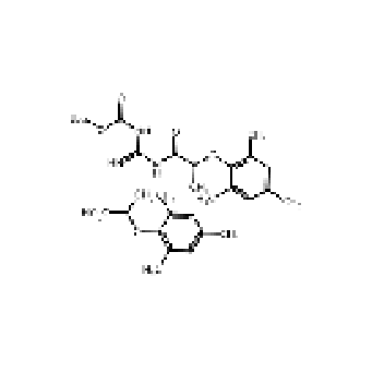 Cc1cc(C)c(OC(C)C(=O)NC(=N)NC(=O)OC(C)(C)C)c(C)c1.Cc1cc(C)c(OC(C)C(=O)O)c(C)c1